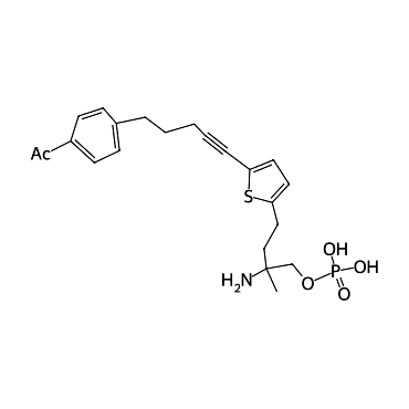 CC(=O)c1ccc(CCCC#Cc2ccc(CCC(C)(N)COP(=O)(O)O)s2)cc1